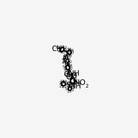 O=C(NS(=O)(=O)c1ccc(N[C@@H]2CCCC2Sc2ccccc2)c([N+](=O)[O-])c1)c1ccc(N2CCN(Cc3ccccc3-c3ccc(Cl)cc3)CC2)cc1